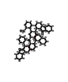 Cc1ccccc1-c1cc(N(c2ccccc2-c2cccc3ccccc23)c2ccccc2-c2cccc3c2oc2ccccc23)ccc1-c1cccc2c1[nH]c1ccccc12